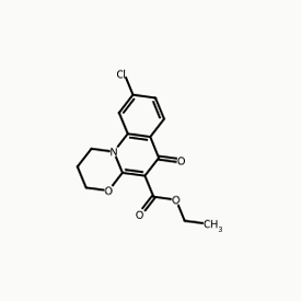 CCOC(=O)c1c2n(c3cc(Cl)ccc3c1=O)CCCO2